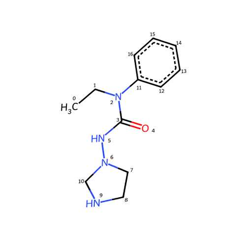 CCN(C(=O)NN1CCNC1)c1ccccc1